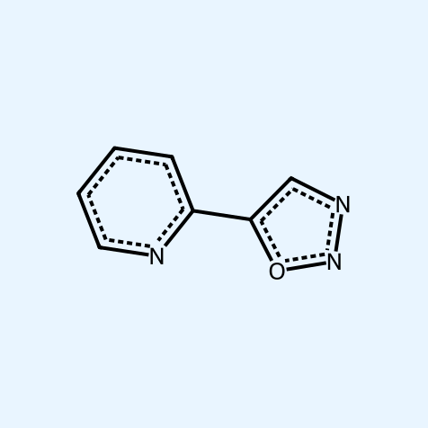 c1ccc(-c2cnno2)nc1